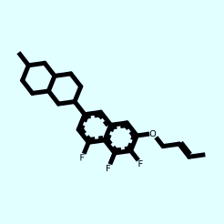 CC=CCOc1cc2cc(C3CCC4CC(C)CCC4C3)cc(F)c2c(F)c1F